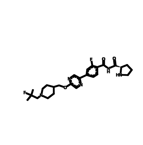 CC(C)(F)CN1CCC(COc2cnc(-c3ccc(C(=O)NC(=O)[C@@H]4CCCN4)c(F)c3)cn2)CC1